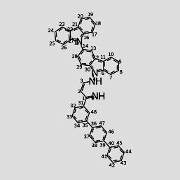 N=C(/C=C\Nn1c2ccccc2c2cc(-n3c4ccccc4c4ccccc43)ccc21)c1cccc(-c2ccc(-c3ccccc3)cc2)c1